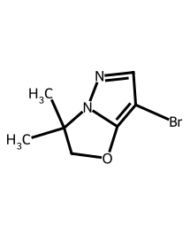 CC1(C)COc2c(Br)cnn21